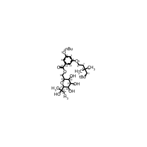 CCCCOc1cc(OCCC(C)(C)CC(C)(C)C)cc(C(=O)OCC2OC(C(C)(C)O)C(O)C(O)C2O)c1